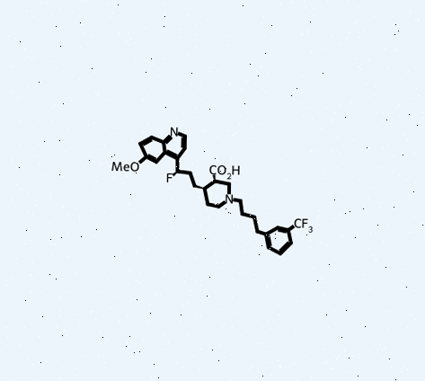 COc1ccc2nccc([C@H](F)CC[C@@H]3CCN(CCCCc4cccc(C(F)(F)F)c4)C[C@@H]3C(=O)O)c2c1